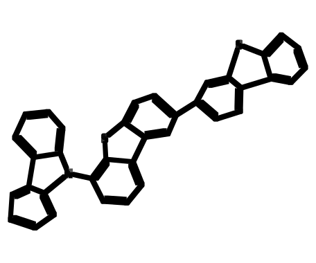 c1ccc2c(c1)sc1cc(-c3ccc4sc5c(-n6c7ccccc7c7ccccc76)cccc5c4c3)ccc12